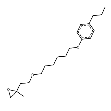 CCCc1ccc(OCCCCCCOCCC2(C)CO2)cc1